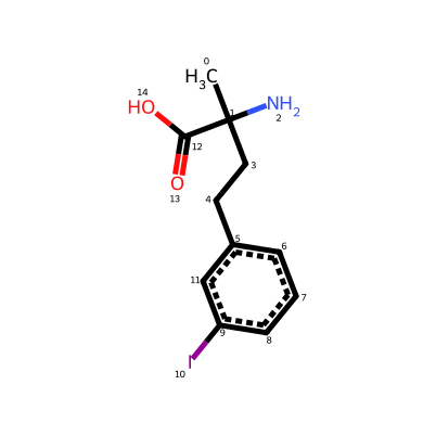 CC(N)(CCc1cccc(I)c1)C(=O)O